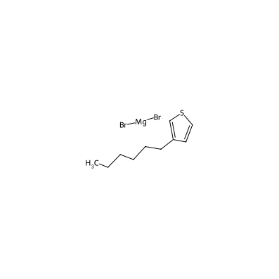 CCCCCCc1ccsc1.[Br][Mg][Br]